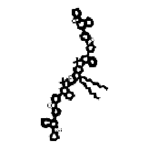 CCCCCCCCC1(CCCCCCCC)c2cc3c(cc2-c2cc4c(cc21)-c1c(cc(-c2ccc5oc6cc(-c7cc8oc9ccccc9c8c8ccccc78)ccc6c5c2)c2ccccc12)C4(C)C)C(C)(C)c1cc(-c2ccc4oc5cc(-c6cc7oc8ccccc8c7c7ccccc67)ccc5c4c2)c2ccccc2c1-3